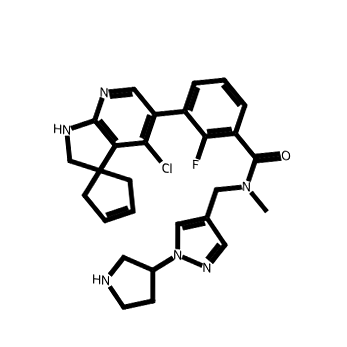 CN(Cc1cnn(C2CCNC2)c1)C(=O)c1cccc(-c2cnc3c(c2Cl)C2(CC=CC2)CN3)c1F